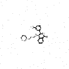 O=c1[nH]c(-c2cccc(O)c2)c(OCCCN2CCCCC2)c2ccccc12